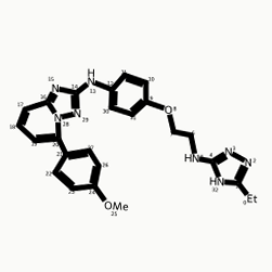 CCc1nnc(NCCOc2ccc(Nc3nc4cccc(-c5ccc(OC)cc5)n4n3)cc2)[nH]1